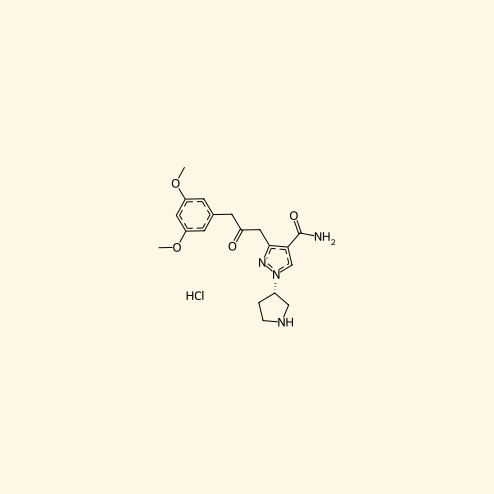 COc1cc(CC(=O)Cc2nn([C@H]3CCNC3)cc2C(N)=O)cc(OC)c1.Cl